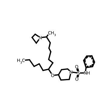 CCCCCC(CCCCCC(C)N1CCC1)OC1CCN(S(=O)(=O)Nc2ccccc2)CC1